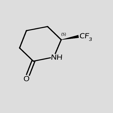 O=C1CCC[C@@H](C(F)(F)F)N1